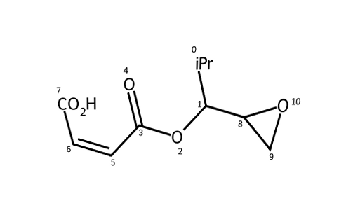 CC(C)C(OC(=O)/C=C\C(=O)O)C1CO1